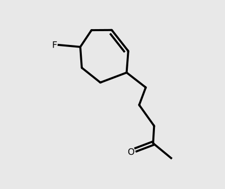 CC(=O)CCCC1C=CCC(F)CC1